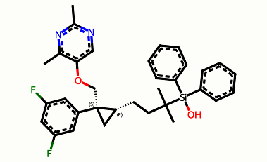 Cc1ncc(OC[C@@]2(c3cc(F)cc(F)c3)C[C@H]2CCC(C)(C)[Si](O)(c2ccccc2)c2ccccc2)c(C)n1